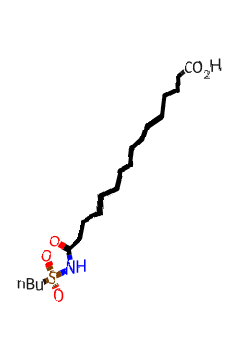 CCCCS(=O)(=O)NC(=O)CCCCCCCCCCCCCCC(=O)O